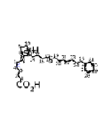 O=C(O)CCC/C=C\C[C@H]1C2CC[C@H](S2)[C@H]1CCCCSCCC=CCCCc1ccccc1